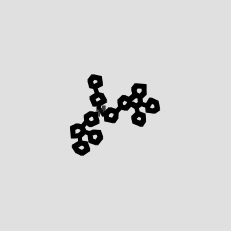 c1ccc(-c2ccc(N(c3ccc(-c4cccc(-c5ccccc5)c4-c4ccccc4)cc3)c3cccc(-c4ccc5c(c4)c(-c4ccccc4)c(-c4ccccc4)c4ccccc45)c3)cc2)cc1